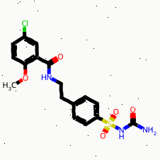 COc1ccc(Cl)cc1C(=O)NCCc1ccc(S(=O)(=O)NC(N)=O)cc1